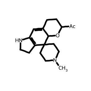 CC(=O)C1CCC2=CC3=C(CCN3)C3(CCN(C)CC3)C2O1